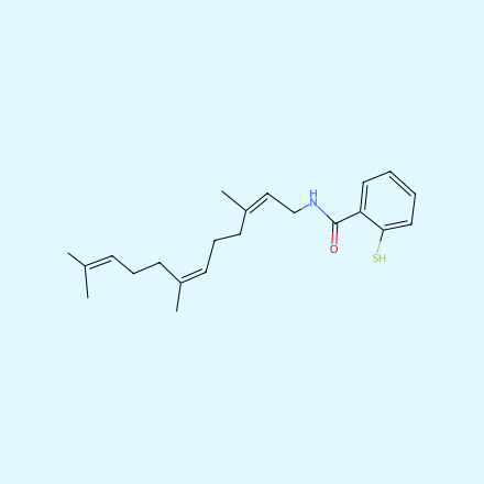 CC(C)=CCCC(C)=CCCC(C)=CCNC(=O)c1ccccc1S